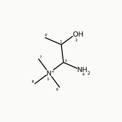 CC(O)C(N)[N+](C)(C)C